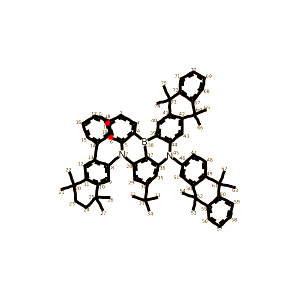 Cc1ccc2c(c1)N(c1cc3c(cc1-c1ccccc1)C(C)(C)CCC3(C)C)c1cc(C(C)(C)C)cc3c1B2c1cc2c(cc1N3c1ccc3c(c1)C(C)(C)c1ccccc1C3(C)C)C(C)(C)c1ccccc1C2(C)C